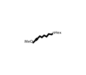 CCCCCCCCCCCCC#C[CH]OC